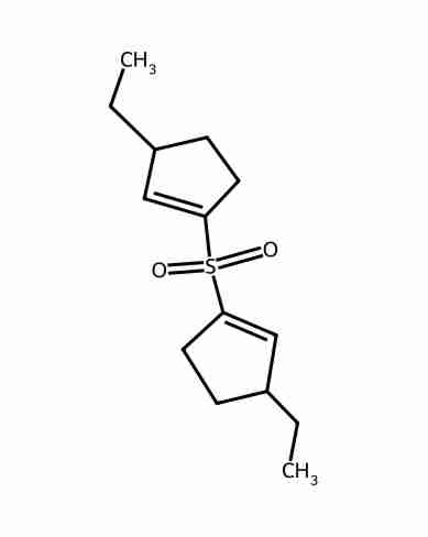 CCC1C=C(S(=O)(=O)C2=CC(CC)CC2)CC1